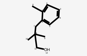 Cc1ccccc1CC(C)(C)CO